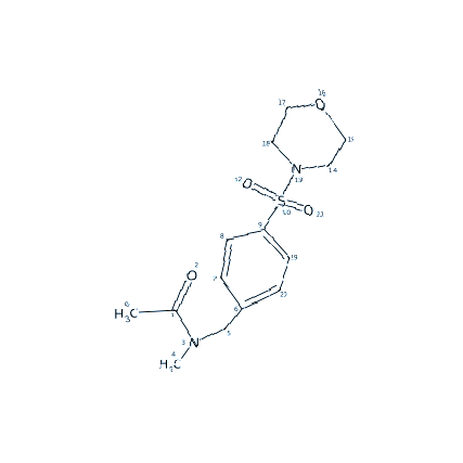 CC(=O)N(C)Cc1ccc(S(=O)(=O)N2CCOCC2)cc1